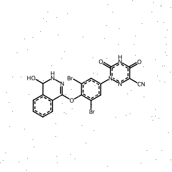 N#Cc1nn(-c2cc(Br)c(OC3=NNC(O)c4ccccc43)c(Br)c2)c(=O)[nH]c1=O